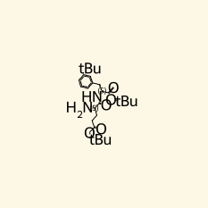 CC(C)(C)OC(=O)CC[C@H](N)C(=O)N[C@@H](Cc1cccc(C(C)(C)C)c1)C(=O)OC(C)(C)C